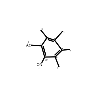 CC(=O)c1c(C)c(C)c(C)c(C)c1N=O